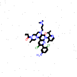 C=CC(=O)N1CC2CN(CCCN(C)C)c3c(c4cc(Cl)c(-c5cc(N)ccc5Cl)nc4n(-c4c(C)ccnc4C(C)C)c3=O)N2CC1C